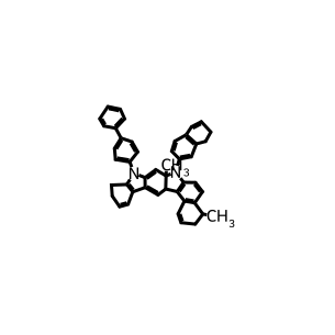 CC1CC=Cc2c1ccc1c2C2C=c3c4c(n(-c5ccc(-c6ccccc6)cc5)c3=CC2(C)N1c1ccc2c(c1)CCC=C2)CCC=C4